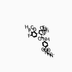 COc1c([C@@H]2C[C@](C)(C(F)(F)F)S[C@H]2C(=O)Nc2ccc(S(=O)(=O)N=[N+]=[N-])cc2)ccc(F)c1F